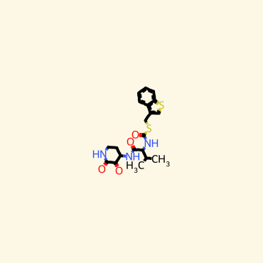 CC(C)C(NC(=O)SCc1csc2ccccc12)C(=O)NC1CCNC(=O)C1=O